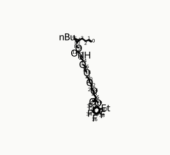 C=CCCC1C(CCCC)[C@H]1COC(=O)NCCOCCOCCOCCOCCC(=O)Oc1c(F)c(F)c(F)c(F)c1CC